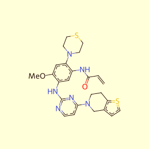 C=CC(=O)Nc1cc(Nc2nccc(N3CCc4sccc4C3)n2)c(OC)cc1N1CCSCC1